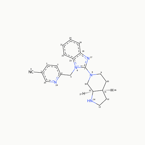 N#Cc1ccc(Cn2c(N3CC[C@H]4CCN[C@H]4C3)nc3ccccc32)nc1